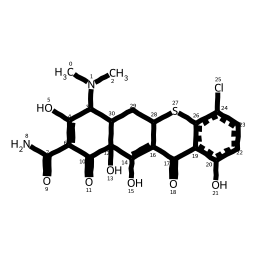 CN(C)C1C(O)=C(C(N)=O)C(=O)C2(O)C(O)=C3C(=O)c4c(O)ccc(Cl)c4SC3CC12